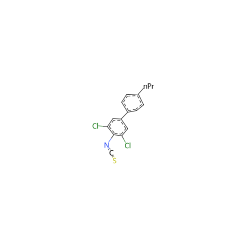 CCCc1ccc(-c2cc(Cl)c(N=C=S)c(Cl)c2)cc1